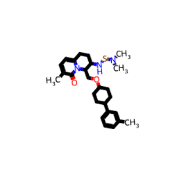 Cc1cccc(C2CCC(OCC3C(NSN(C)C)CCc4ccc(C)c(=O)n43)CC2)c1